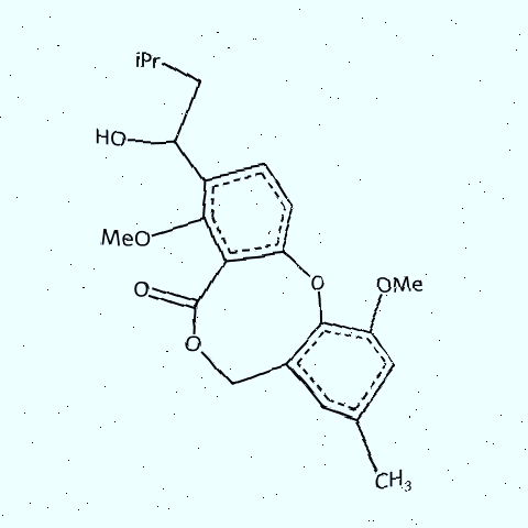 COc1cc(C)cc2c1Oc1ccc(C(O)CC(C)C)c(OC)c1C(=O)OC2